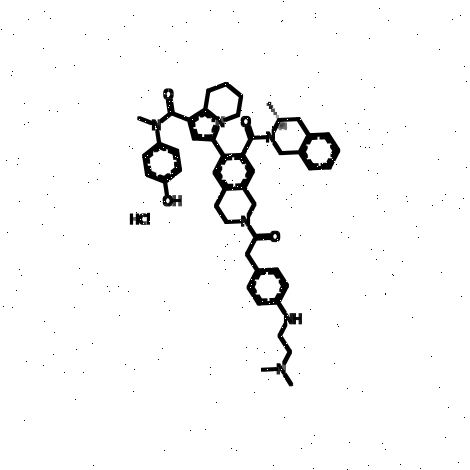 C[C@@H]1Cc2ccccc2CN1C(=O)c1cc2c(cc1-c1cc(C(=O)N(C)c3ccc(O)cc3)c3n1CCCC3)CCN(C(=O)Cc1ccc(NCCN(C)C)cc1)C2.Cl